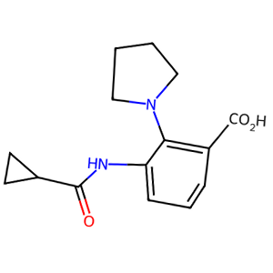 O=C(O)c1cccc(NC(=O)C2CC2)c1N1CCCC1